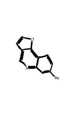 Brc1ccc2c(c1)ncc1ccoc12